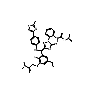 CCc1cc(OCC(=O)N(C)C)c(F)c(C(Nc2ccc(-c3noc(C)n3)cc2)c2nn(-c3ccccc3NC(=O)OC(C)C)c(=O)[nH]2)c1